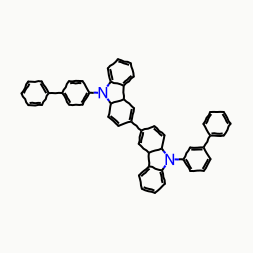 C1=CC2C(C=C1C1=CC3c4ccccc4N(c4cccc(-c5ccccc5)c4)C3C=C1)c1ccccc1N2c1ccc(-c2ccccc2)cc1